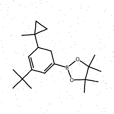 CC(C)(C)C1=CC(C2(C)CC2)CC(B2OC(C)(C)C(C)(C)O2)=C1